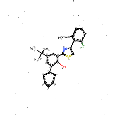 Cc1cccc(Cl)c1-c1csc(-c2cc(C(C)(C)C)cc(-c3ccccc3)c2O)n1